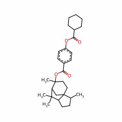 CC1CCC2C(C)(C)C3CC12CCC3(C)OC(=O)c1ccc(OC(=O)C2CCCCC2)cc1